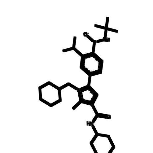 Cc1c(C(=O)NC2CCOCC2)cc(-c2ccc([S+]([O-])NC(C)(C)C)c(C(C)C)c2)n1CC1CCCCC1